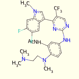 CC(=O)Nc1cc(Nc2ncc(C(F)(F)F)c(-c3cn(C)c4cc(F)c(F)cc34)n2)ccc1N(C)CCN(C)C